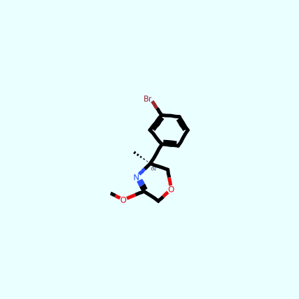 COC1=N[C@@](C)(c2cccc(Br)c2)COC1